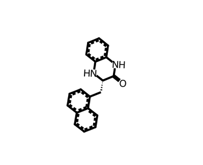 O=C1Nc2ccccc2N[C@H]1Cc1cccc2ccccc12